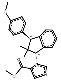 COC(=O)c1cncn1[C@H]1c2ccccc2[C@H](c2ccc(OC)cc2)C1(C)C